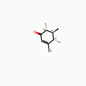 CCC1=CC(=O)[C@H](C)[C@@H](C)[C@@H]1C